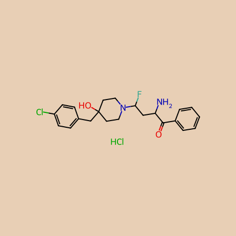 Cl.NC(CC(F)N1CCC(O)(Cc2ccc(Cl)cc2)CC1)C(=O)c1ccccc1